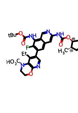 CCc1c(-c2cc3cc(NC(=O)O[C@H]4COC[C@@H]4C)ncc3c(NC(=O)OC(C)(C)C)c2F)cnc2c1N(C(=O)O)CCO2